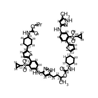 Cc1cc(Nc2ccc(-c3ccc([C@H]4CC[C@H](NC(=O)OC(C)CCc5cc(Nc6ccc(-c7ccc(C8CCC(NC(=O)OC(C)C)CC8)s7)c(S(=O)(=O)C7CC7)c6)n[nH]5)CC4)s3)c(S(=O)(=O)C3CC3)c2)n[nH]1